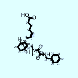 O=C(O)CCC/C=C\C[C@@H]1[C@H](CNC(=O)C(=O)NCc2ccccc2)[C@@H]2CC[C@H]1O2